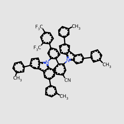 Cc1cccc(-c2ccc3c(c2)c2cc(-c4cccc(C)c4)ccc2n3-c2cc(C#N)ccc2-c2ccc(-c3ccc(C(F)(F)F)cc3C(F)(F)F)cc2-n2c3ccc(-c4cccc(C)c4)cc3c3cc(-c4cccc(C)c4)ccc32)c1